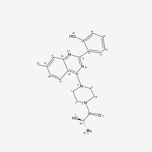 CC[C@@H](C)[C@@H](O)C(=O)N1CCN(c2nc(-c3ccccc3O)nc3cc(C)ccc23)CC1